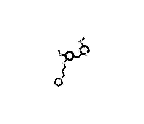 CNc1ccnc(Cc2ccc(OC)c(OCCCN3CCCC3)c2)n1